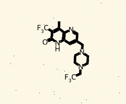 Cc1c(C(F)(F)F)c(=O)[nH]c2cc(CN3CCN(CC(F)(F)F)CC3)cnc12